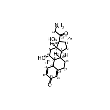 C[C@@H]1C[C@@H]2[C@H](C[C@H](O)[C@]3(F)C4C=CC(=O)C=C4CC[C@@H]23)[C@@]1(O)C(=O)CN